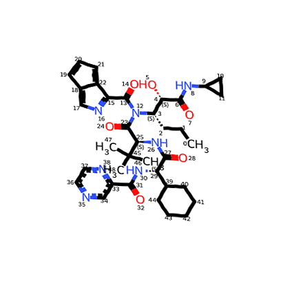 CCC[C@@H]([C@H](O)C(=O)NC1CC1)N(C(=O)C1=NC=C2C=CC=C21)C(=O)[C@@H](NC(=O)[C@@H](NC(=O)c1cnccn1)C1CCCCC1)C(C)(C)C